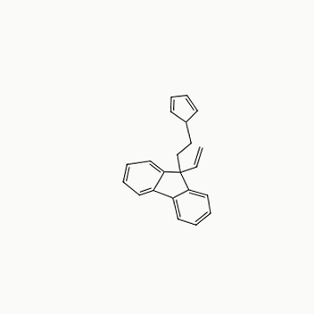 C=CC1(CCC2C=CC=C2)c2ccccc2-c2ccccc21